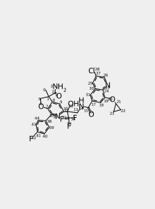 CC1(C(N)=O)COc2c1cc(C(O)(CNC(=O)c1cc(OC3CC3)c3ncc(Cl)cc3c1)C(F)(F)F)nc2-c1ccc(F)cc1